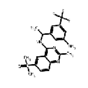 Cc1nc(NC(C)c2cc(N)cc(C(F)(F)F)c2)c2cc(P(C)(C)=O)ccc2n1